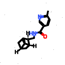 Cc1ccc(C(=O)NC[C@@H]2CC[C@H]3C[C@@H]2C3(C)C)cn1